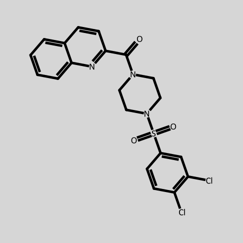 O=C(c1ccc2ccccc2n1)N1CCN(S(=O)(=O)c2ccc(Cl)c(Cl)c2)CC1